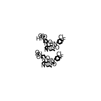 CC1Cn2ncc(N3CC(N(C)S(C)(=O)=O)CC3=O)c2CN1C(=O)Nc1ccc(F)c(Cl)c1.CC1Cn2ncc(N3CC(NS(C)(=O)=O)CC3=O)c2CN1C(=O)Nc1ccc(F)c(Cl)c1